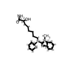 Cn1c(N(CCCCCCC(O)C(N)=O)c2ccccn2)nc2ccccc21